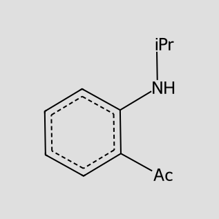 CC(=O)c1ccccc1NC(C)C